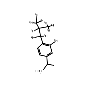 [2H]c1cc(C(C)C(=O)O)ccc1C([2H])([2H])C([2H])(C([2H])([2H])[2H])C([2H])([2H])[2H]